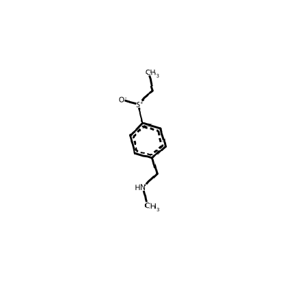 CC[S+]([O-])c1ccc(CNC)cc1